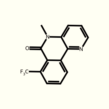 Cn1c(=O)c2c(C(F)(F)F)cccc2c2ncccc21